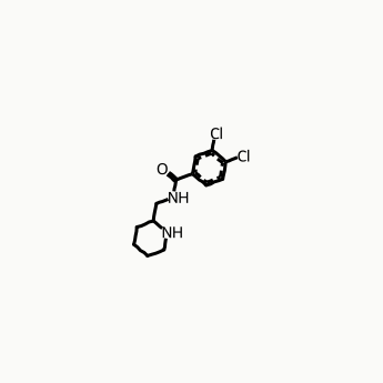 O=C(NCC1CCCCN1)c1ccc(Cl)c(Cl)c1